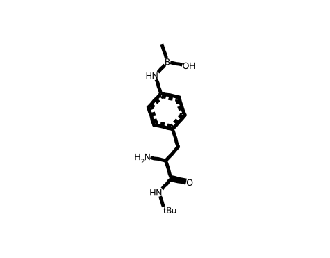 CB(O)Nc1ccc(CC(N)C(=O)NC(C)(C)C)cc1